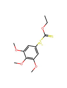 CCOC(=S)[SH2]c1cc(OC)c(OC)c(OC)c1